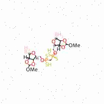 B[C@@H]1O[C@H](COP(=S)(S)CP(=S)(S)OC[C@@H]2O[C@H](B)C3OC(OC)O[C@@H]32)C2OC(OC)O[C@@H]21